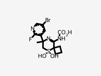 CC1(c2cc(Br)cnc2F)CS(O)(O)C2(CCC2)C(NC(=O)O)=N1